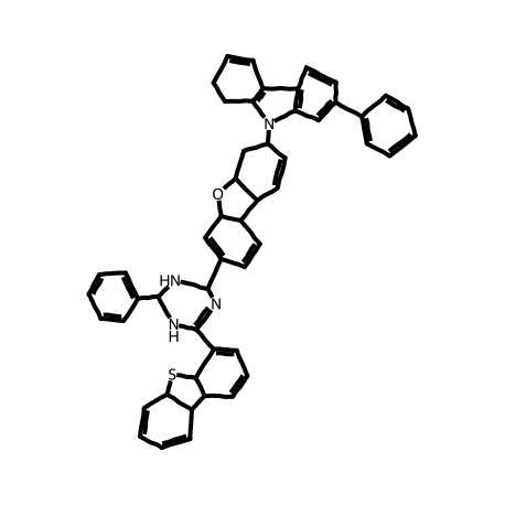 C1=CC2SC3C(C4=NC(C5=CC6OC7CC(n8c9c(c%10ccc(-c%11ccccc%11)cc%108)C=CCC9)C=CC7C6C=C5)NC(c5ccccc5)N4)=CC=CC3C2C=C1